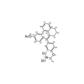 CCN(CC)C(C)Oc1ccc(C(=C2CCCc3ccccc32)c2ccc(OC(C)=O)cc2)cc1